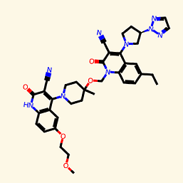 CCc1ccc2c(c1)c(N1CC[C@@H](n3nccn3)C1)c(C#N)c(=O)n2COC1(C)CCN(c2c(C#N)c(=O)[nH]c3ccc(OCCOC)cc23)CC1